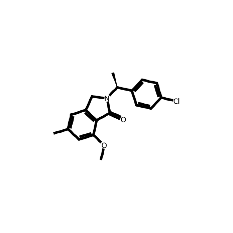 COc1cc(C)cc2c1C(=O)N([C@@H](C)c1ccc(Cl)cc1)C2